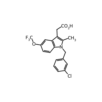 Cc1c(CC(=O)O)c2cc(OC(F)(F)F)ccc2n1Cc1cccc(Cl)c1